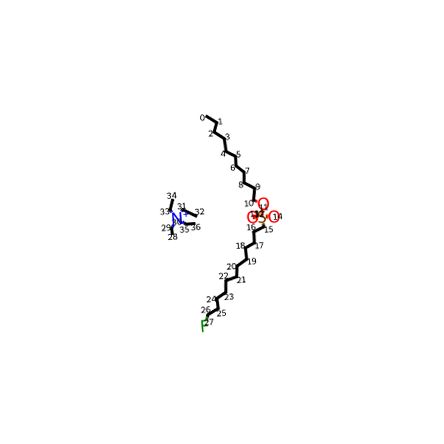 CCCCCCCCCCCOS(=O)(=O)CCCCCCCCCCCCF.CC[N+](CC)(CC)CC